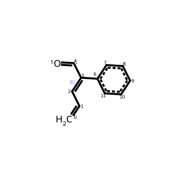 C=C/C=C(/[C]=O)c1ccccc1